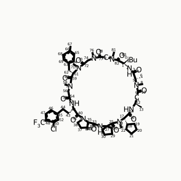 CC[C@H](C)[C@@H]1NC(=O)[C@H](C)N(C)C(=O)C[C@@H](C)NC(=O)[C@H](C2CCCC2)N(C)C(=O)C2(CCCC2)NC(=O)[C@@H]2CCCN2C(=O)[C@H](CCc2ccc(C(F)(F)F)c(Cl)c2)NC(=O)CN(C)C(=O)[C@H](Cc2ccc(C)cc2)N(C)C(=O)CN(C)C(=O)CN(C)C1=O